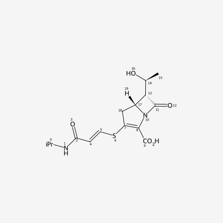 CC(C)NC(=O)C=CSC1=C(C(=O)O)N2C(=O)[C@@H]([C@H](C)O)[C@H]2C1